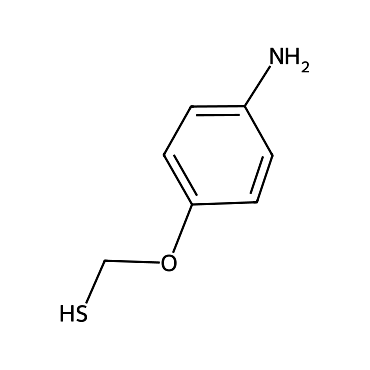 Nc1ccc(OCS)cc1